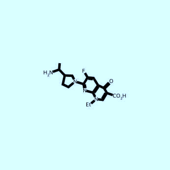 CCn1cc(C(=O)O)c(=O)c2cc(F)c(N3CCC(C(C)N)C3)nc21